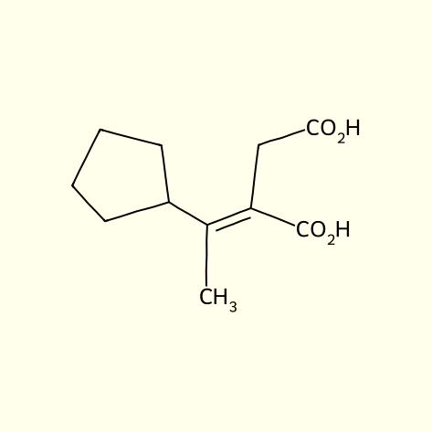 CC(=C(CC(=O)O)C(=O)O)C1CCCC1